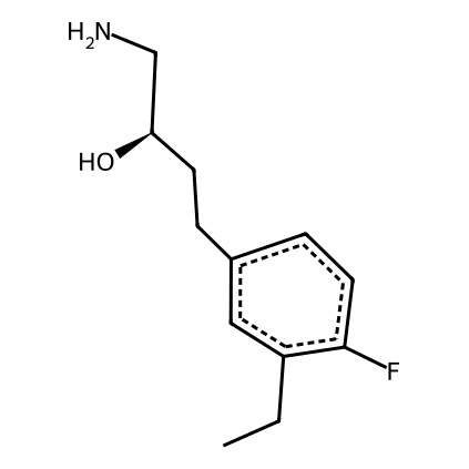 CCc1cc(CC[C@@H](O)CN)ccc1F